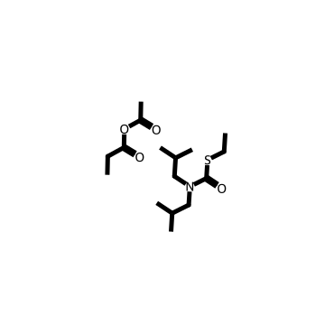 CCC(=O)OC(C)=O.CCSC(=O)N(CC(C)C)CC(C)C